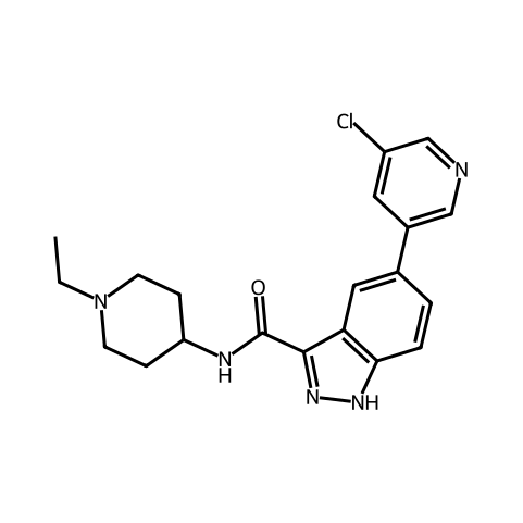 CCN1CCC(NC(=O)c2n[nH]c3ccc(-c4cncc(Cl)c4)cc23)CC1